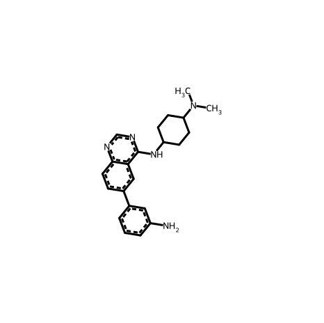 CN(C)C1CCC(Nc2ncnc3ccc(-c4cccc(N)c4)cc23)CC1